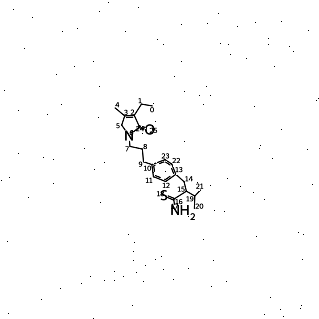 CCC1=C(C)CN(CCCc2ccc(CC(C(N)=S)C(C)C)cc2)C1=O